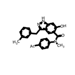 CC(=O)c1ccc(N(C)C(=O)c2cc3c(Cc4cccc(C)c4)n[nH]c3cc2O)cc1